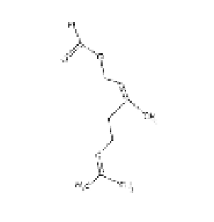 CCC(=O)OCC=C(C)CCC=C(C)C